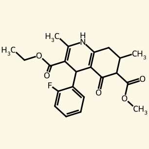 CCOC(=O)C1=C(C)NC2=C(C(=O)C(C(=O)OC)C(C)C2)C1c1ccccc1F